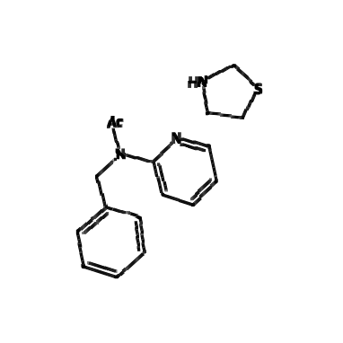 C1CSCN1.CC(=O)N(Cc1ccccc1)c1ccccn1